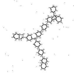 C1=C(c2ccc(N(c3ccc(-c4ccc(-c5ccc6ccccc6c5)cc4)cc3)c3ccc(-c4ccc(-c5ccc6c(c5)c5ccccc5n6-c5ccccc5)cc4)cc3)cc2)Cc2ccccc21